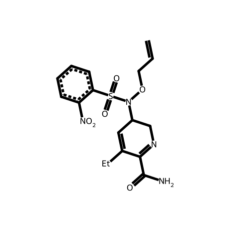 C=CCON(C1C=C(CC)C(C(N)=O)=NC1)S(=O)(=O)c1ccccc1[N+](=O)[O-]